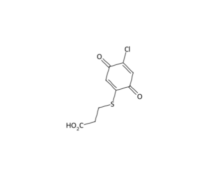 O=C(O)CCSC1=CC(=O)C(Cl)=CC1=O